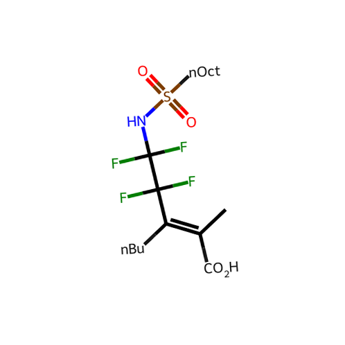 CCCCCCCCS(=O)(=O)NC(F)(F)C(F)(F)C(CCCC)=C(C)C(=O)O